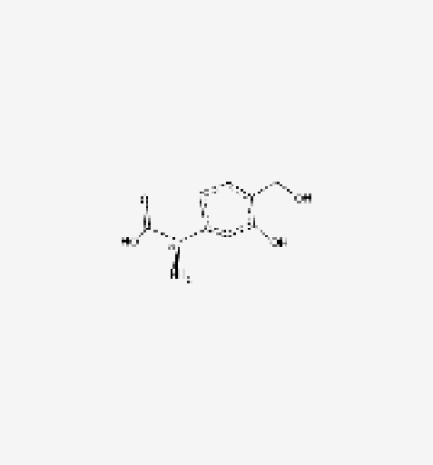 N[C@@H](C(=O)O)c1ccc(CO)c(O)c1